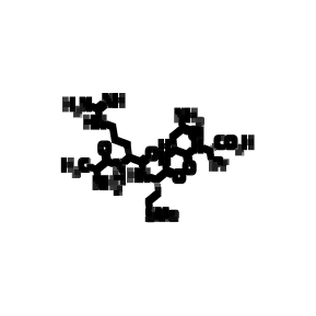 CSCC[C@H](NC(=O)[C@H](CCCNC(=N)N)NC(=O)[C@H](C)N)C(=O)N[C@@H](CC(N)=O)C(=O)N[C@H](C(=O)O)C(C)C